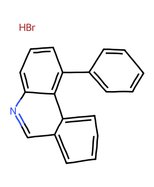 Br.c1ccc(-c2cccc3ncc4ccccc4c23)cc1